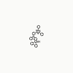 c1ccc(-c2nc(-c3ccccc3)nc(-c3cccc(-n4c5ccccc5c5c6c(ccc54)[nH]c4c5ccccc5c5ccccc5c46)c3)n2)cc1